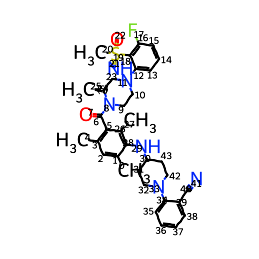 Cc1cc(C)c(C(=O)N2CCN(c3cccc(F)c3S(C)(=N)=O)C[C@@H]2C)c(C)c1NC1CCN(c2ccccc2C#N)CC1